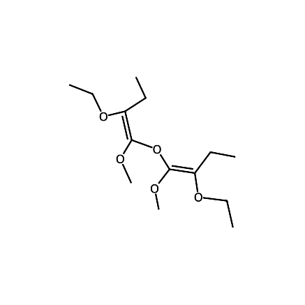 CCO/C(CC)=C(\OC)O/C(OC)=C(\CC)OCC